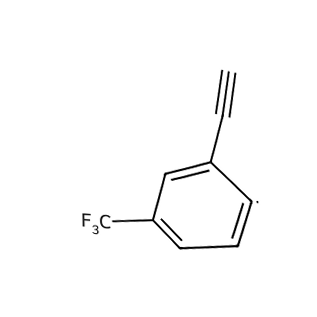 C#Cc1[c]ccc(C(F)(F)F)c1